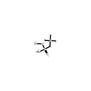 CCCCP(=O)(C[N+](C)(C)C)OCC